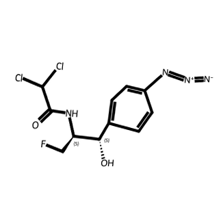 [N-]=[N+]=Nc1ccc([C@H](O)[C@@H](CF)NC(=O)C(Cl)Cl)cc1